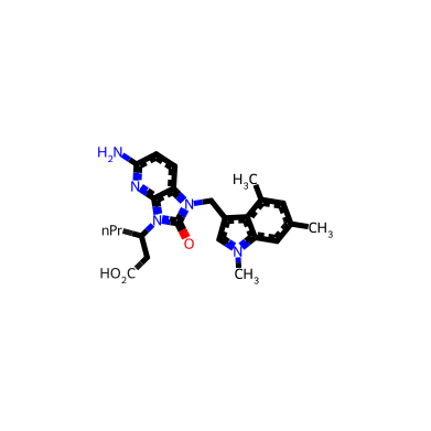 CCCC(CC(=O)O)n1c(=O)n(Cc2cn(C)c3cc(C)cc(C)c23)c2ccc(N)nc21